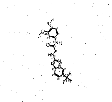 COc1ccc(NC(=O)CNc2nc3ccc(C(F)(F)F)cn3n2)cc1OC